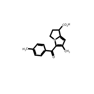 Cc1ccc(C(=O)c2c(C)cc3n2CCC3C(=O)O)cc1